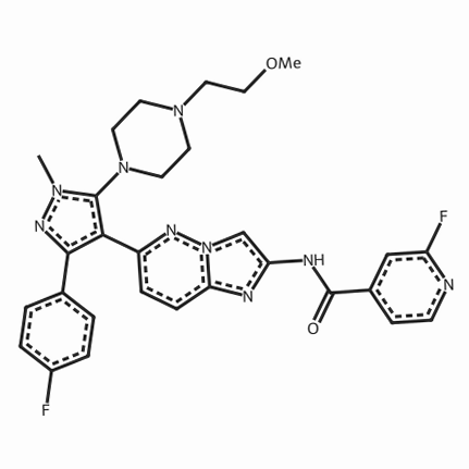 COCCN1CCN(c2c(-c3ccc4nc(NC(=O)c5ccnc(F)c5)cn4n3)c(-c3ccc(F)cc3)nn2C)CC1